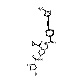 Cn1cc(C#Cc2ccc(C(=O)NC[C@H]3C[C@@H](NC(=O)[C@@H]4C[C@H](F)CN4)CN3C(=O)C3CC3)cc2)cn1